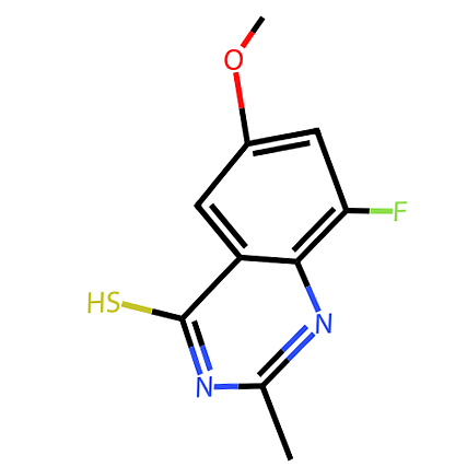 COc1cc(F)c2nc(C)nc(S)c2c1